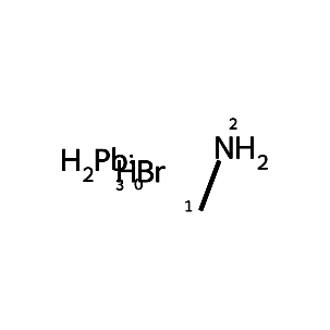 Br.CN.[PbH2]